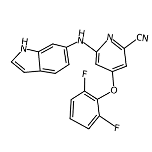 N#Cc1cc(Oc2c(F)cccc2F)cc(Nc2ccc3cc[nH]c3c2)n1